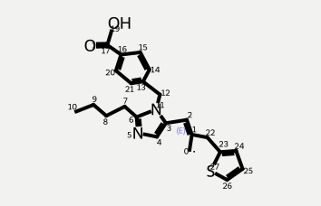 [CH2]/C(=C\c1cnc(CCCC)n1Cc1ccc(C(=O)O)cc1)Cc1cccs1